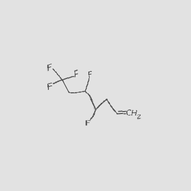 C=CCC(F)C(F)CC(F)(F)F